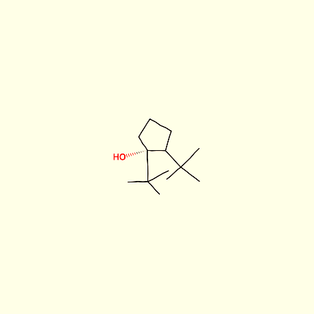 CC(C)(C)C1CCC[C@]1(O)C(C)(C)C